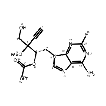 C#CC(CO)(OC)[C@H](Cn1cnc2c(N)nc(F)nc21)OC(=O)CCC